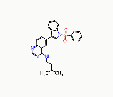 CC(C)CCNc1ncnc2ccc(-c3cn(S(=O)(=O)c4ccccc4)c4ccccc34)cc12